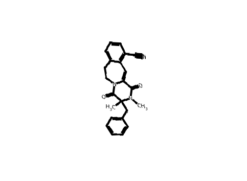 CN1C(=O)C2=Cc3c(C#N)cccc3CCN2C(=O)C1(C)Cc1ccccc1